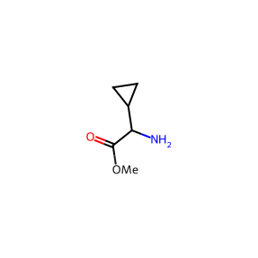 COC(=O)C(N)C1CC1